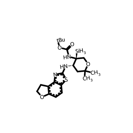 CC(C)(C)OC(=O)N[C@]1([SiH3])COC(C)(C)C[C@@H]1Nc1nc2c3c(ccc2s1)OCC3